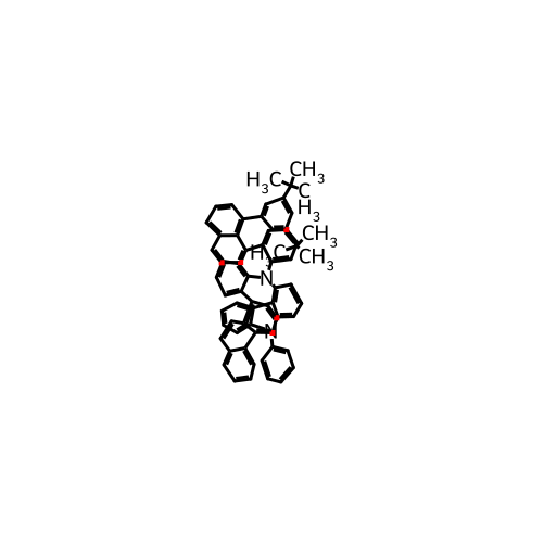 CC(C)(C)c1cc(-c2cccc3cccc(-c4ccccc4N(c4ccccc4-c4cccc5c4ccc4ccccc45)c4cccc5c4c4ccccc4n5-c4ccccc4)c23)cc(C(C)(C)C)c1